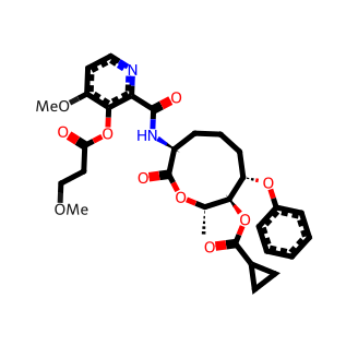 COCCC(=O)Oc1c(OC)ccnc1C(=O)N[C@H]1CCC[C@H](Oc2ccccc2)[C@@H](OC(=O)C2CC2)[C@H](C)OC1=O